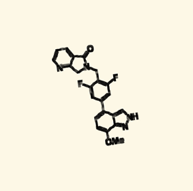 COc1ccc(-c2cc(F)c(CN3Cc4ncccc4C3=O)c(F)c2)c2c[nH]nc12